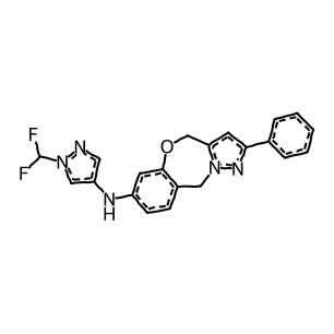 FC(F)n1cc(Nc2ccc3c(c2)OCc2cc(-c4ccccc4)nn2C3)cn1